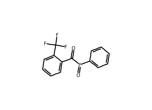 O=C(c1ccccc1C(F)(F)F)[P](=O)c1ccccc1